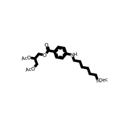 CCCCCCCCCCCCCCCCNc1ccc(C(=O)OCC(COC(C)=O)OC(C)=O)cc1